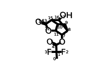 CC(F)(F)C(=O)OC1C2CC3C1OC(=O)C3C2O